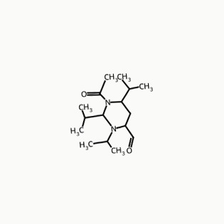 CC(=O)N1C(C(C)C)CC(C=O)N(C(C)C)C1C(C)C